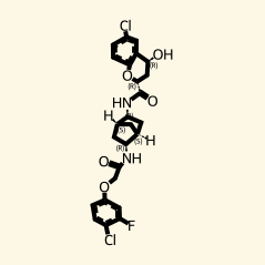 O=C(COc1ccc(Cl)c(F)c1)N[C@@H]1C[C@@H]2C[C@H]1C[C@H]2NC(=O)[C@H]1C[C@@H](O)c2cc(Cl)ccc2O1